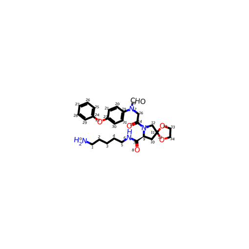 NCCCCCNC(=O)[C@@H]1CC2(CN1C(=O)CN(C=O)c1ccc(Oc3ccccc3)cc1)OCCO2